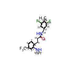 CCCNc1cc(C(F)(F)F)ccc1CCC(=O)NCc1cc(F)c(C)c(F)c1